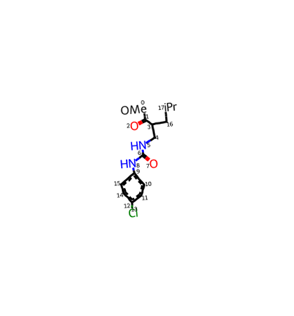 COC(=O)C(CNC(=O)Nc1ccc(Cl)cc1)CC(C)C